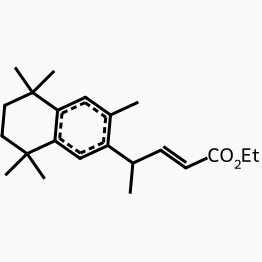 CCOC(=O)C=CC(C)c1cc2c(cc1C)C(C)(C)CCC2(C)C